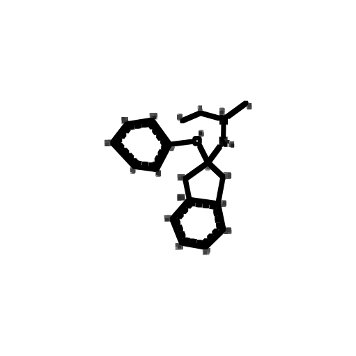 CCN(C)[N]C1(Oc2ccccc2)Cc2ccccc2C1